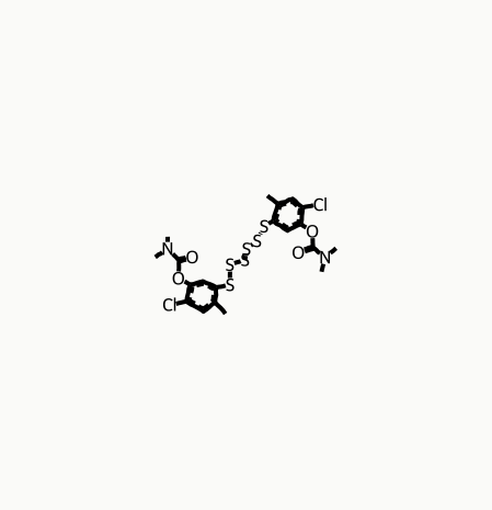 Cc1cc(Cl)c(OC(=O)N(C)C)cc1SSSSSSc1cc(OC(=O)N(C)C)c(Cl)cc1C